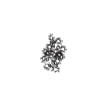 c1ccc(-n2c3ccccc3n3c4ccc5c6ccccc6n(-c6cc7c8c(c6-c6c(-n9c%10ccccc%10c%10ccc%11c(nc%12n(-c%13ccccc%13)c%13ccccc%13n%11%12)c%109)cc9c%10c6Oc6ccccc6B%10c6ccccc6O9)Oc6ccccc6B8c6ccccc6O7)c5c4nc23)cc1